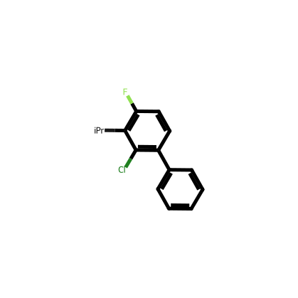 CC(C)c1c(F)ccc(-c2ccccc2)c1Cl